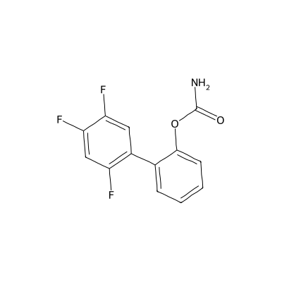 NC(=O)Oc1ccccc1-c1cc(F)c(F)cc1F